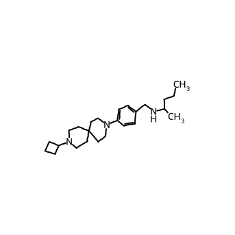 CCCC(C)NCc1ccc(N2CCC3(CC2)CCN(C2CCC2)CC3)cc1